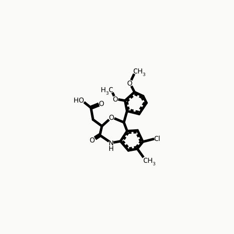 COc1cccc(C2OC(CC(=O)O)C(=O)Nc3cc(C)c(Cl)cc32)c1OC